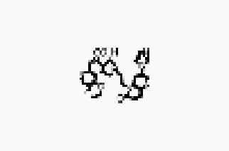 O=C(O)N(Cc1cc2c(cn1)OCCO2)C1CCN(CCn2c(=O)ccc3ncc(-n4ccnc4)cc32)CC1